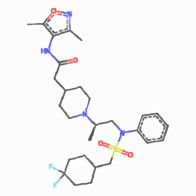 Cc1noc(C)c1NC(=O)CC1CCN([C@H](C)CN(c2ccccc2)S(=O)(=O)CC2CCC(F)(F)CC2)CC1